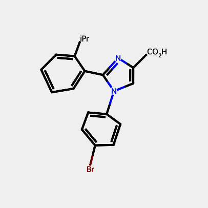 CC(C)c1ccccc1-c1nc(C(=O)O)cn1-c1ccc(Br)cc1